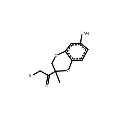 COc1ccc2c(c1)OCC(C)(C(=O)CBr)O2